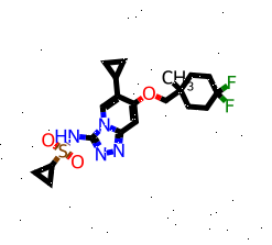 CC1(COc2cc3nnc(NS(=O)(=O)C4CC4)n3cc2C2CC2)CCC(F)(F)CC1